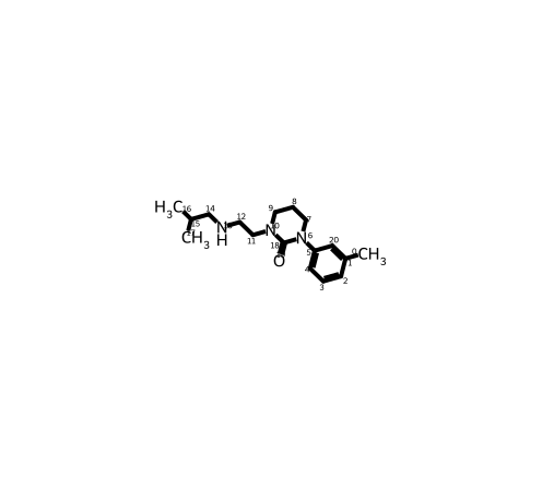 Cc1cccc(N2CCCN(CCNCC(C)C)C2=O)c1